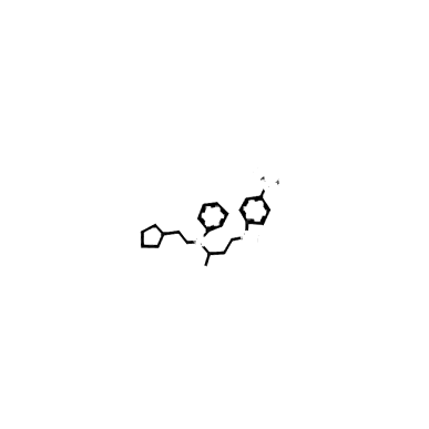 CC(CCNc1ccc([N+](=O)[O-])cc1)N(CCC1CCCC1)c1ccccc1